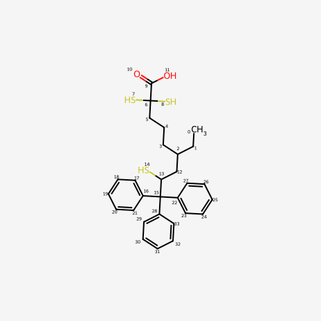 CCC(CCCC(S)(S)C(=O)O)CC(S)C(c1ccccc1)(c1ccccc1)c1ccccc1